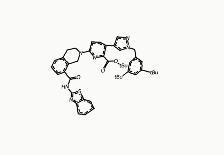 CC(C)(C)OC(=O)c1nc(N2CCc3cccc(C(=O)Nc4nc5ccccc5s4)c3C2)ccc1-c1cnn(Cc2cc(C(C)(C)C)cc(C(C)(C)C)c2)c1